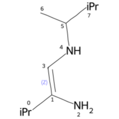 CC(C)/C(N)=C/NC(C)C(C)C